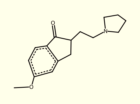 COc1ccc2c(c1)CC(CCN1CCCC1)C2=O